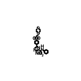 CN1CCN(CCS(=O)(=O)c2ccc(-c3cnc(N)c(C(=O)Nc4ccccc4)n3)cc2)CC1